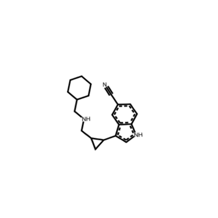 N#Cc1ccc2[nH]cc(C3CC3CNCC3CCCCC3)c2c1